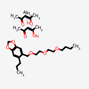 CC(=O)/C=C(/C)O.CC(=O)/C=C(/C)O.CCCCOCCOCCOCc1cc2c(cc1CCC)OCO2.[AlH3]